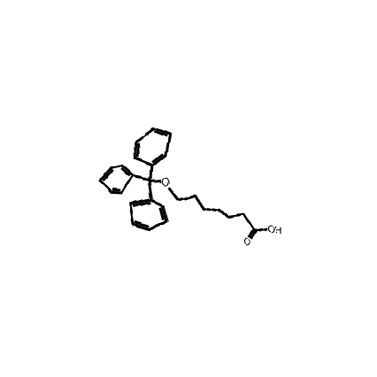 O=C(O)CCCCCCOC(c1ccccc1)(c1ccccc1)c1ccccc1